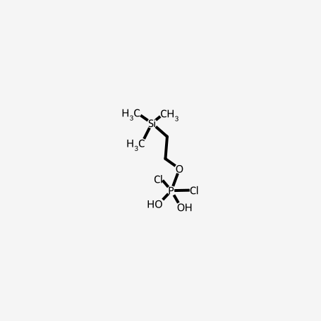 C[Si](C)(C)CCOP(O)(O)(Cl)Cl